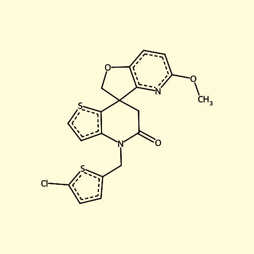 COc1ccc2c(n1)C1(CO2)CC(=O)N(Cc2ccc(Cl)s2)c2ccsc21